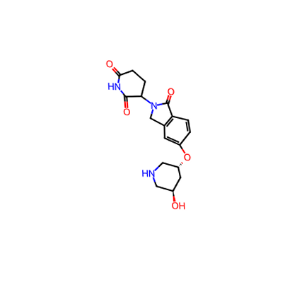 O=C1CCC(N2Cc3cc(O[C@H]4CNC[C@H](O)C4)ccc3C2=O)C(=O)N1